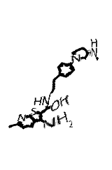 CN[C@H]1CCN(c2ccc(CCNC(O)c3sc4nc(C)ccc4c3N)cc2)C1